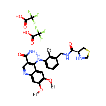 CCOc1cc2ncc(C(N)=O)c(Nc3cccc(CNC(=O)[C@H]4CSCN4)c3CC)c2cc1OCC.O=C(O)C(F)(F)F.O=C(O)C(F)(F)F